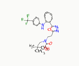 CC(C)(C)CN(CCc1nnc(-c2ccccc2Nc2ccc(C(F)(F)F)cc2)o1)C(=O)O